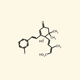 CC(=C/C(=O)O)/C=C/[C@@]1(O)C(/C=C/c2cccc(F)c2)=CC(=O)CC1(C)C